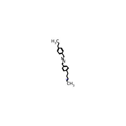 C/C=C/CCc1ccc(C=NN=Cc2ccc(CCC)cc2)cc1